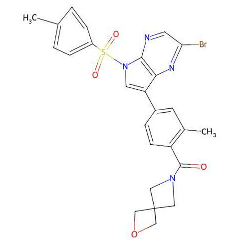 Cc1ccc(S(=O)(=O)n2cc(-c3ccc(C(=O)N4CC5(COC5)C4)c(C)c3)c3nc(Br)cnc32)cc1